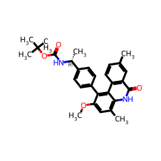 COc1cc(C)c2[nH]c(=O)c3cc(C)ccc3c2c1-c1ccc([C@@H](C)NC(=O)OC(C)(C)C)cc1